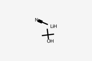 CC#N.CC(C)(C)O.[LiH]